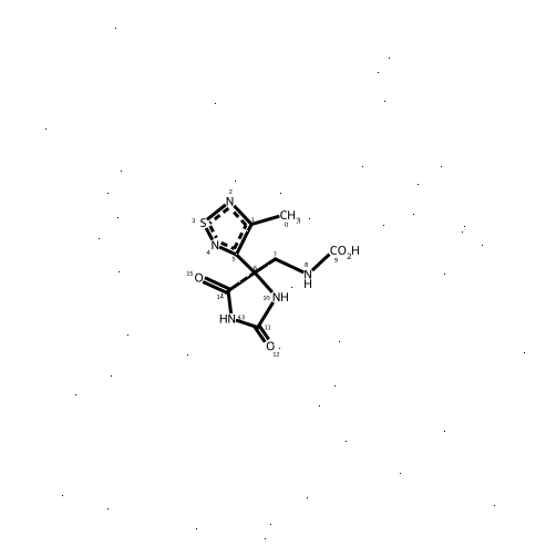 Cc1nsnc1C1(CNC(=O)O)NC(=O)NC1=O